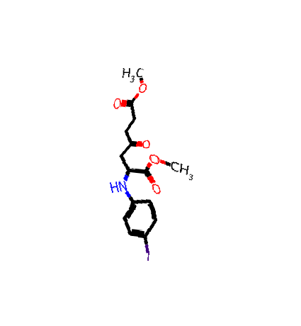 COC(=O)CCC(=O)CC(Nc1ccc(I)cc1)C(=O)OC